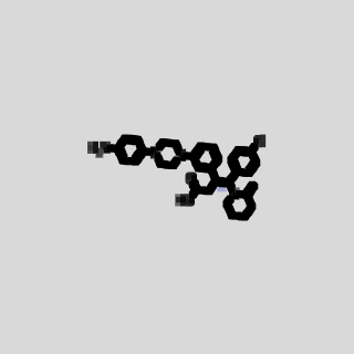 C=C1CCCCN1/C(=C(\CC(=O)O)c1cccc(N2CCN(c3ccc(N)cc3)CC2)c1)c1ccc(Cl)cc1